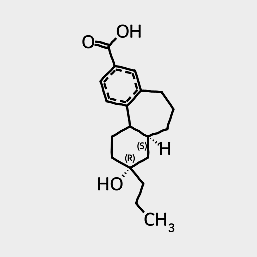 CCC[C@@]1(O)CCC2c3ccc(C(=O)O)cc3CCC[C@H]2C1